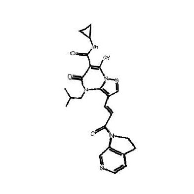 CC(C)Cn1c(=O)c(C(=O)NC2CC2)c(O)n2ncc(C=CC(=O)N3CCc4ccncc43)c12